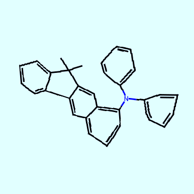 CC1(C)c2ccccc2-c2cc3cccc(N(c4ccccc4)c4ccccc4)c3cc21